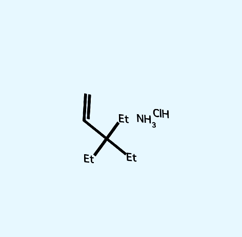 C=CC(CC)(CC)CC.Cl.N